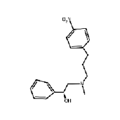 CN(CCCc1ccc([N+](=O)[O-])cc1)C[C@@H](O)c1ccccc1